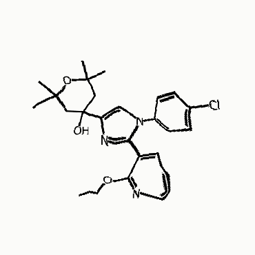 CCOc1ncccc1-c1nc(C2(O)CC(C)(C)OC(C)(C)C2)cn1-c1ccc(Cl)cc1